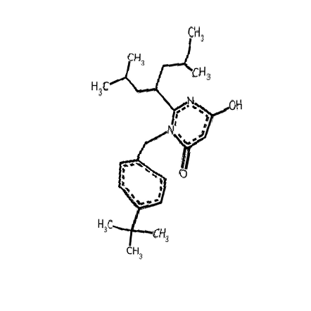 CC(C)CC(CC(C)C)c1nc(O)cc(=O)n1Cc1ccc(C(C)(C)C)cc1